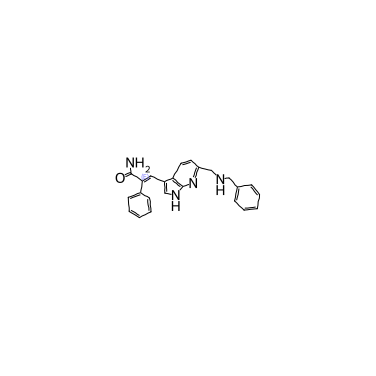 NC(=O)/C(=C/c1c[nH]c2nc(CNCc3ccccc3)ccc12)c1ccccc1